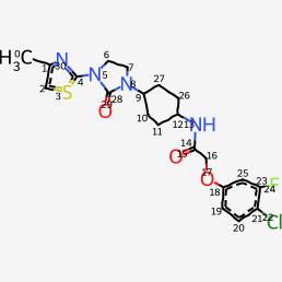 Cc1csc(N2CCN(C3CCC(NC(=O)COc4ccc(Cl)c(F)c4)CC3)C2=O)n1